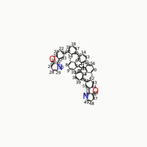 c1ccc([Si](c2ccccc2)(c2cccc(-c3cccc(-c4ccc5oc6cccnc6c5c4)c3)c2)c2cccc(-c3ccc4oc5cccnc5c4c3)c2)cc1